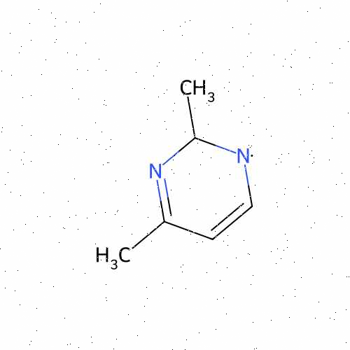 CC1=NC(C)[N]C=C1